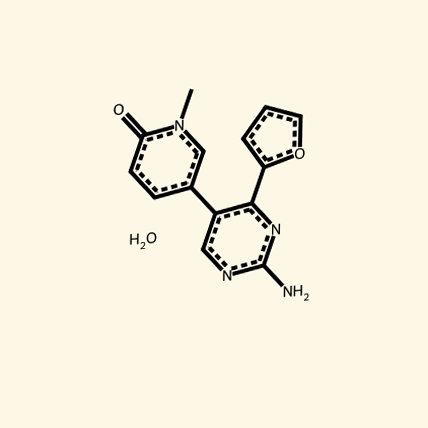 Cn1cc(-c2cnc(N)nc2-c2ccco2)ccc1=O.O